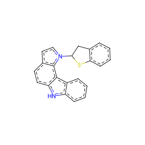 c1ccc2c(c1)CC(n1ccc3ccc4[nH]c5ccccc5c4c31)S2